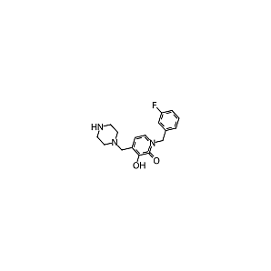 O=c1c(O)c(CN2CCNCC2)ccn1Cc1cccc(F)c1